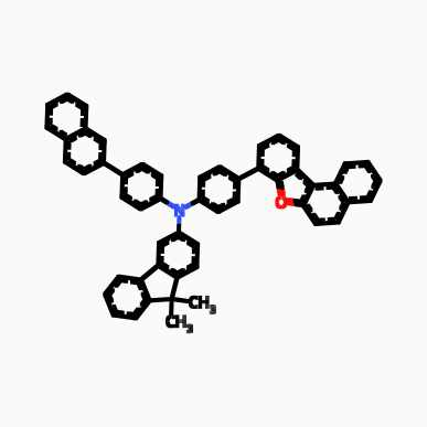 CC1(C)c2ccccc2-c2cc(N(c3ccc(-c4ccc5ccccc5c4)cc3)c3ccc(-c4cccc5c4oc4ccc6ccccc6c45)cc3)ccc21